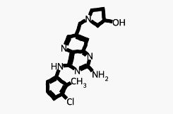 Cc1c(Cl)cccc1Nc1nc(N)nc2cc(CN3CCC(O)C3)cnc12